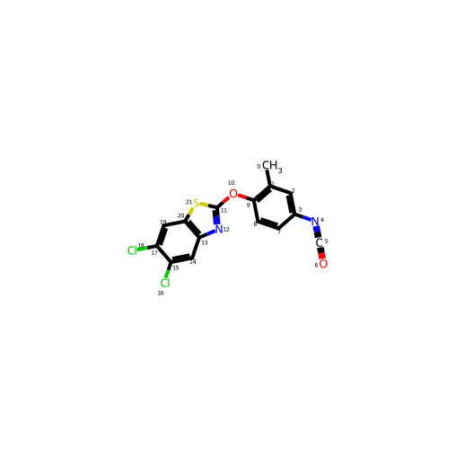 Cc1cc(N=C=O)ccc1Oc1nc2cc(Cl)c(Cl)cc2s1